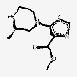 COC(=O)c1ncsc1N1CCN[C@H](C)C1